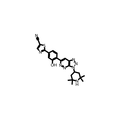 CC1(C)CC(n2nnc3cc(-c4ccc(-c5ncc(C#N)s5)cc4O)nnc32)CC(C)(C)N1